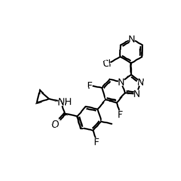 Cc1c(F)cc(C(=O)NC2CC2)cc1-c1c(F)cn2c(-c3ccncc3Cl)nnc2c1F